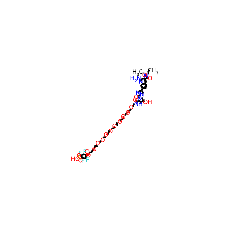 CCCN(OCC)C(=O)C1=Cc2ccc(-c3cnc(C(=O)N4C[C@H](O)CC4C(=O)NCCOCCOCCOCCOCCOCCOCCOCCOCCOCCOCCC(=O)Oc4c(F)c(F)c(S(=O)(=O)O)c(F)c4F)nc3)cc2N=C(N)C1